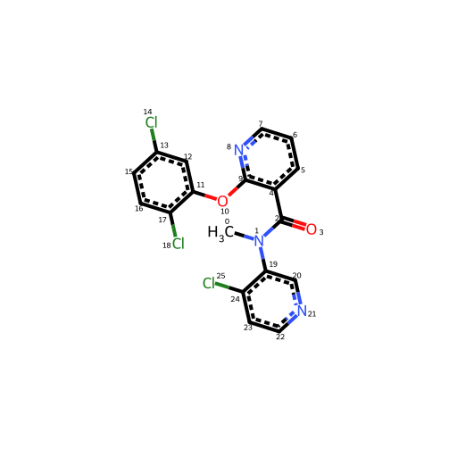 CN(C(=O)c1cccnc1Oc1cc(Cl)ccc1Cl)c1cnccc1Cl